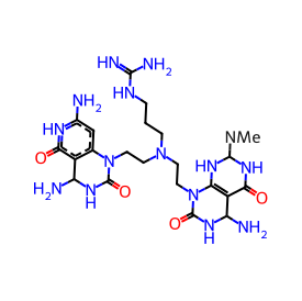 CNC1NC(=O)C2=C(N1)N(CCN(CCCNC(=N)N)CCN1C(=O)NC(N)c3c1cc(N)[nH]c3=O)C(=O)NC2N